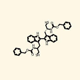 O=C(NC(CS)Cc1c(-c2[nH]c3ccccc3c2C[C@H](CS)NC(=O)OCc2ccccc2)[nH]c2ccccc12)OCc1ccccc1